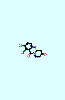 O=C1C=CN(C(=O)c2c(I)ccc(Cl)c2Cl)CC1